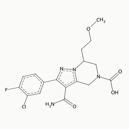 COCCC1CN(C(=O)O)Cc2c(C(N)=O)c(-c3ccc(F)c(Cl)c3)nn21